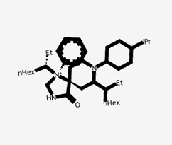 CCCCCCC(CC)C1C[C@@]2(CCN1C1CCC(C(C)C)CC1)C(=O)NC[N@@+]2(c1ccccc1)[C@@H](CC)CCCCCC